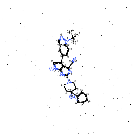 [2H]C([2H])([2H])n1ncc2cc(-c3c[nH]c4nc(N5CCC(N)(c6ccccc6)CC5)nc(C#N)c34)ccc21